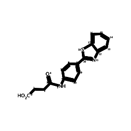 O=C(O)CCC(=O)Nc1ccc(-c2nc3ccccc3s2)cc1